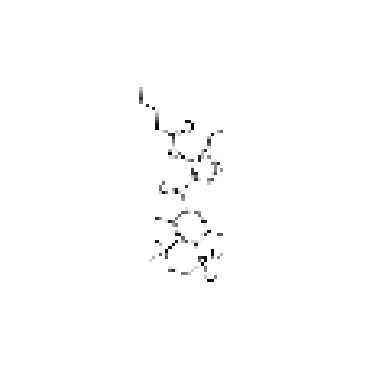 CCCCC(=O)Oc1c(C(=O)c2cc(C)c3c(c2C)C(C)(C)CCS3(=O)=O)cnn1CC